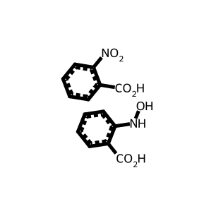 O=C(O)c1ccccc1NO.O=C(O)c1ccccc1[N+](=O)[O-]